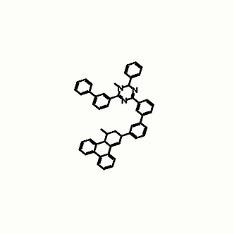 CC1CC(c2cccc(-c3cccc(C4=NC(c5ccccc5)N(C)C(c5cccc(-c6ccccc6)c5)=N4)c3)c2)C=C2c3ccccc3-c3ccccc3C21